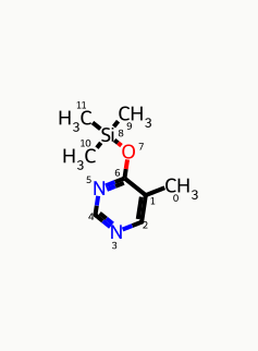 Cc1cncnc1O[Si](C)(C)C